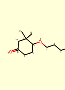 CCCCOC1CCC(=O)CC1(C)C